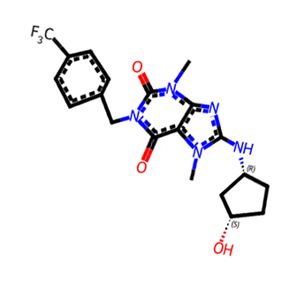 Cn1c(N[C@@H]2CC[C@H](O)C2)nc2c1c(=O)n(Cc1ccc(C(F)(F)F)cc1)c(=O)n2C